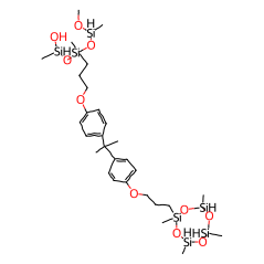 CO[SiH](C)O[Si](C)(CCCOc1ccc(C(C)(C)c2ccc(OCCC[Si]3(C)O[SiH](C)O[SiH](C)O[SiH](C)O3)cc2)cc1)O[SiH](C)O